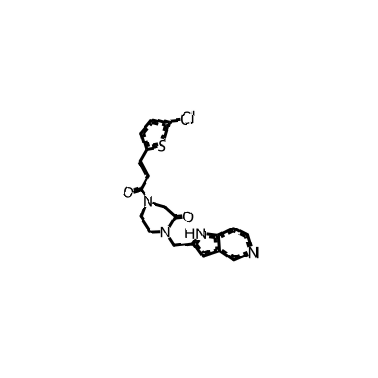 O=C(/C=C/c1ccc(Cl)s1)N1CCN(Cc2cc3cnccc3[nH]2)C(=O)C1